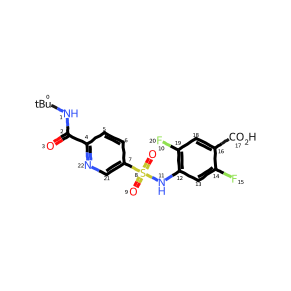 CC(C)(C)NC(=O)c1ccc(S(=O)(=O)Nc2cc(F)c(C(=O)O)cc2F)cn1